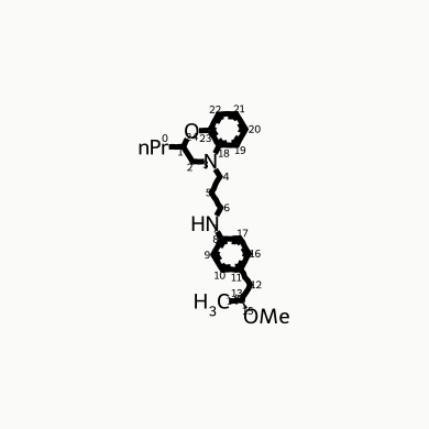 CCCC1CN(CCCNc2ccc(C[C@@H](C)OC)cc2)c2ccccc2O1